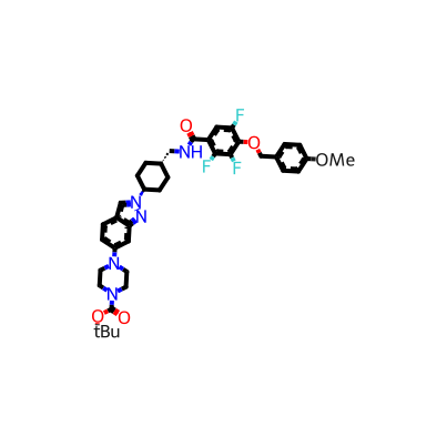 COc1ccc(COc2c(F)cc(C(=O)NC[C@H]3CC[C@H](n4cc5ccc(N6CCN(C(=O)OC(C)(C)C)CC6)cc5n4)CC3)c(F)c2F)cc1